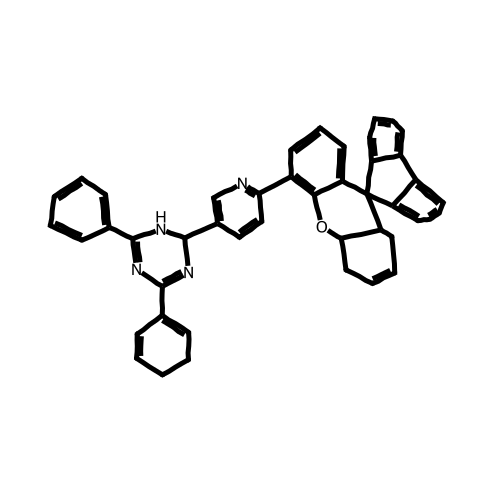 C1=CC(C2=NC(c3ccc(-c4cccc5c4OC4CC=CCC4C54c5ccccc5-c5ccccc54)nc3)NC(c3ccccc3)=N2)=CCC1